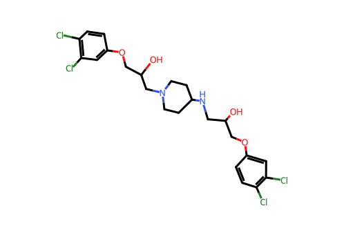 OC(CNC1CCN(CC(O)COc2ccc(Cl)c(Cl)c2)CC1)COc1ccc(Cl)c(Cl)c1